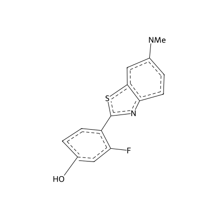 CNc1ccc2nc(-c3ccc(O)cc3F)sc2c1